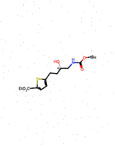 CCOC(=O)c1ccc(CC[C@H](O)CNC(=O)OC(C)(C)C)s1